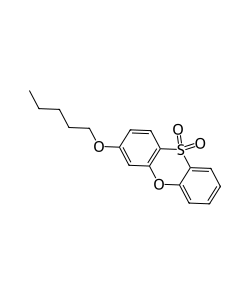 CCCCCOc1ccc2c(c1)Oc1ccccc1S2(=O)=O